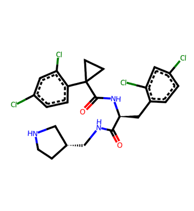 O=C(NC[C@@H]1CCNC1)[C@H](Cc1ccc(Cl)cc1Cl)NC(=O)C1(c2ccc(Cl)cc2Cl)CC1